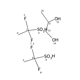 CC(F)(F)S(=O)(=O)O.CC(F)(F)S(=O)(=O)O.CC(O)CO